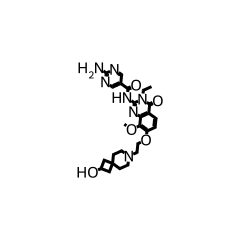 CCn1c(NC(=O)c2cnc(N)nc2)nc2c(OC)c(OCCN3CCC4(CC3)CC(O)C4)ccc2c1=O